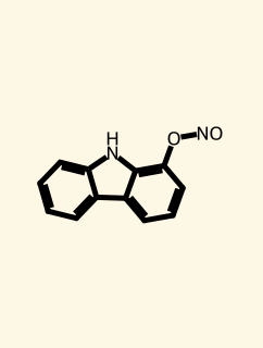 O=NOc1cccc2c1[nH]c1ccccc12